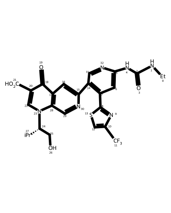 CCNC(=O)Nc1cc(-c2nc(C(F)(F)F)cs2)c(-c2cc3c(=O)c(C(=O)O)cn([C@H](CO)C(C)C)c3cn2)cn1